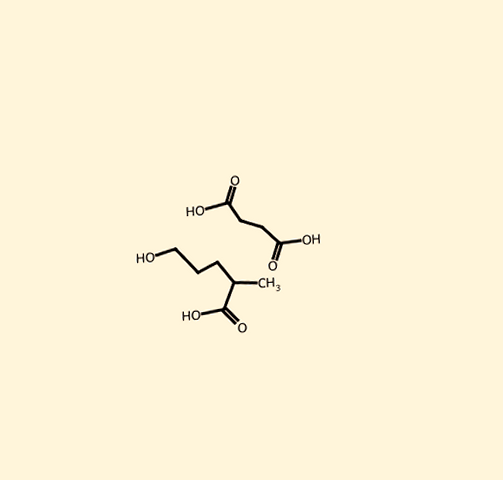 CC(CCCO)C(=O)O.O=C(O)CCC(=O)O